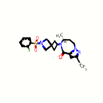 C[C@@H]1CCn2nc(C(F)(F)F)cc2C(=O)N1C1CC2(C1)CN(S(=O)(=O)c1ccccc1F)C2